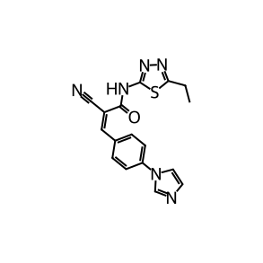 CCc1nnc(NC(=O)C(C#N)=Cc2ccc(-n3ccnc3)cc2)s1